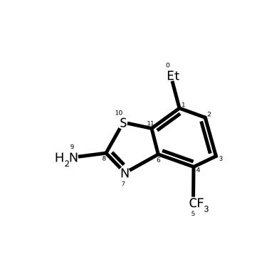 CCc1ccc(C(F)(F)F)c2nc(N)sc12